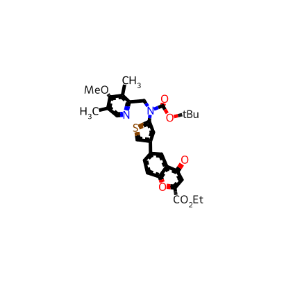 CCOC(=O)c1cc(=O)c2cc(-c3csc(N(Cc4ncc(C)c(OC)c4C)C(=O)OC(C)(C)C)c3)ccc2o1